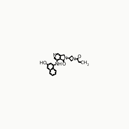 C=CC(=O)N1CC(N2Cc3cncc(Nc4cc(O)cc5ccccc45)c3C2=O)C1